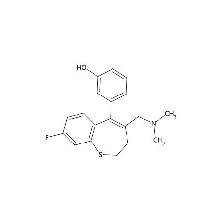 CN(C)CC1=C(c2cccc(O)c2)c2ccc(F)cc2SCC1